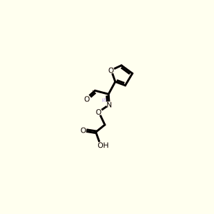 O=[C]/C(=N\OCC(=O)O)c1ccco1